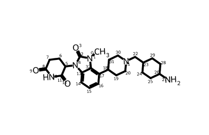 Cn1c(=O)n(C2CCC(=O)NC2=O)c2cccc(C3CCN(CC4CCC(N)CC4)CC3)c21